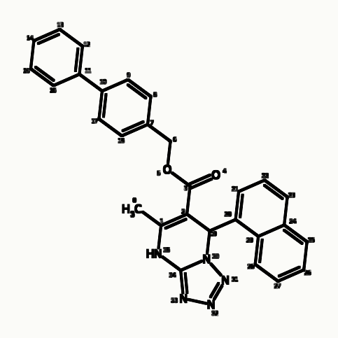 CC1=C(C(=O)OCc2ccc(-c3ccccc3)cc2)C(c2cccc3ccccc23)n2nnnc2N1